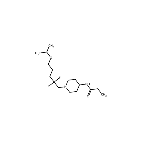 CCC(=O)NC1CCN(CC(F)(F)CCCOC(C)C)CC1